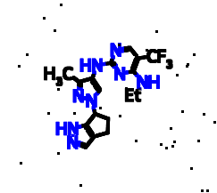 CCNc1nc(Nc2cn(C3CCc4cn[nH]c43)nc2C)ncc1C(F)(F)F